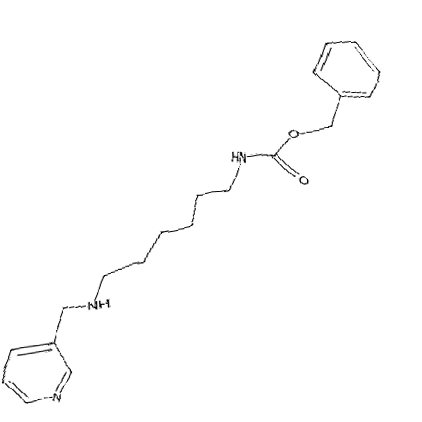 O=C(NCCCCCCNCc1cccnc1)OCc1ccccc1